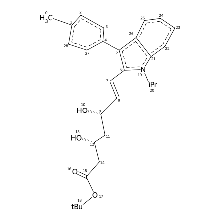 Cc1ccc(-c2c(/C=C/[C@@H](O)C[C@@H](O)CC(=O)OC(C)(C)C)n(C(C)C)c3ccccc23)cc1